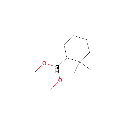 CO[SiH](OC)C1CCCCC1(C)C